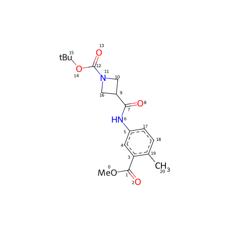 COC(=O)c1cc(NC(=O)C2CN(C(=O)OC(C)(C)C)C2)ccc1C